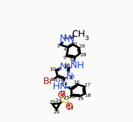 Cn1ncc2cc(Nc3ncc(Br)c(Nc4ccccc4S(=O)(=O)C4CC4)n3)ccc21